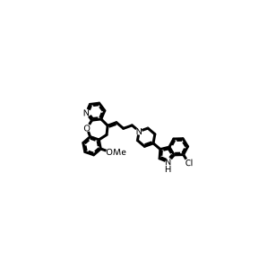 COc1cccc2c1CC(=CCCN1CC=C(c3c[nH]c4c(Cl)cccc34)CC1)c1cccnc1O2